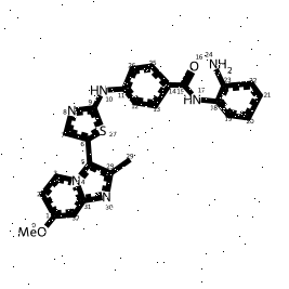 COc1ccn2c(-c3cnc(Nc4ccc(C(=O)Nc5ccccc5N)cc4)s3)c(C)nc2c1